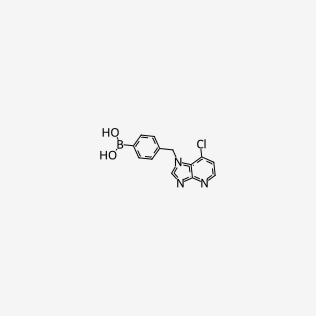 OB(O)c1ccc(Cn2cnc3nccc(Cl)c32)cc1